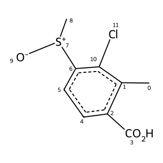 Cc1c(C(=O)O)ccc([S+](C)[O-])c1Cl